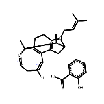 CC(C)=CCN1C2=C3CC1C(C)C1(C)/N=C\C/C(Cl)=C\C3=C1CC2.O=C(O)c1ccccc1O